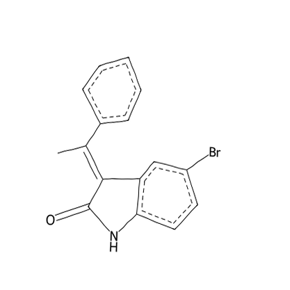 CC(=C1C(=O)Nc2ccc(Br)cc21)c1ccccc1